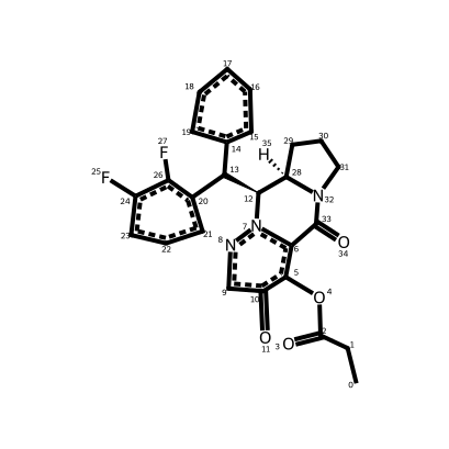 CCC(=O)Oc1c2n(ncc1=O)[C@@H](C(c1ccccc1)c1cccc(F)c1F)[C@H]1CCCN1C2=O